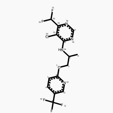 CC(COc1ccc(C(F)(F)F)cn1)Nc1ncnc(C(F)F)c1Cl